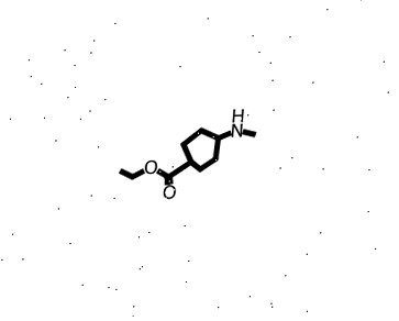 CCOC(=O)C1CCC(NC)CC1